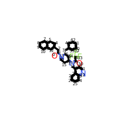 O=C(Cc1ccc2ccccc2c1)N1CC[C@H](N(Cc2ccnc3ccccc23)C(=O)C(F)(F)F)C[C@H]1Cc1ccccc1